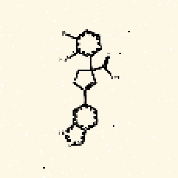 Cc1c(F)cccc1C1(C(=O)O)C=C(c2ccc3cn[nH]c3c2)CC1